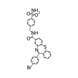 NS(=O)(=O)c1ccc(CNC(=O)c2ccc3c(c2)N=C(c2ccc(Br)cc2)c2ccccc2S3)cc1